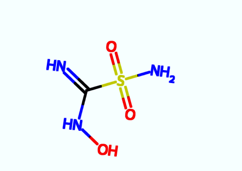 N=C(NO)S(N)(=O)=O